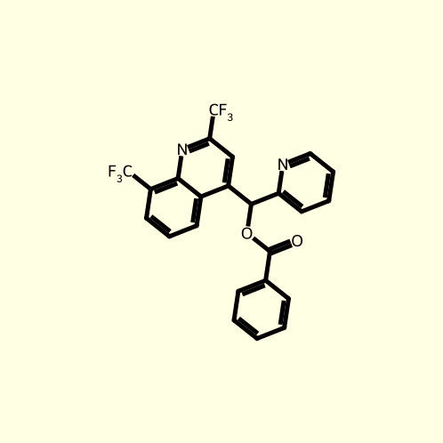 O=C(OC(c1ccccn1)c1cc(C(F)(F)F)nc2c(C(F)(F)F)cccc12)c1ccccc1